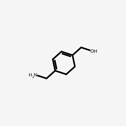 NCC1=CC=C(CO)CC1